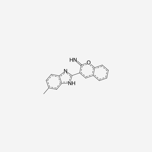 Cc1ccc2nc(-c3cc4ccccc4oc3=N)[nH]c2c1